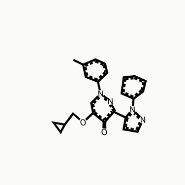 Cc1cccc(-n2cc(OCC3CC3)c(=O)c(-c3ccnn3-c3ccccc3)n2)c1